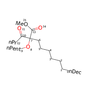 CCCCCCCCCCCCCCCCC(OCCCCC)(C(=O)CCC)C(=O)OC